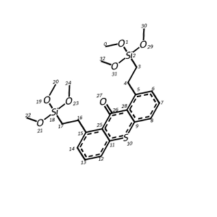 CO[Si](CCc1cccc2sc3cccc(CC[Si](OC)(OC)OC)c3c(=O)c12)(OC)OC